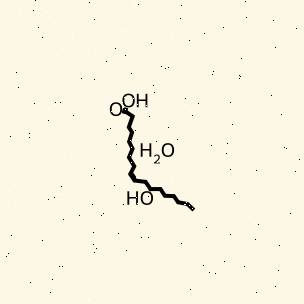 CCCCCC[C@@H](O)C/C=C\CCCCCCCC(=O)O.O